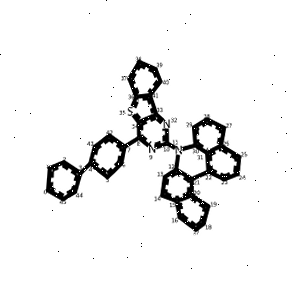 c1ccc(-c2ccc(-c3nc(N4c5ccc6ccccc6c5-c5cccc6cccc4c56)nc4c3sc3ccccc34)cc2)cc1